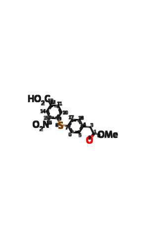 COC(=O)Cc1ccc(Sc2ccc(C(=O)O)cc2[N+](=O)[O-])cc1